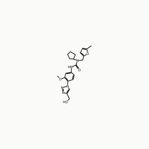 COc1cc(NC(=O)N(Cc2ccc(C)o2)C2CCCC2)ccc1-n1cc(CO)nn1